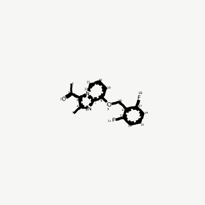 CC(=O)c1c(C)nc2c(OCc3c(F)cccc3F)cccn12